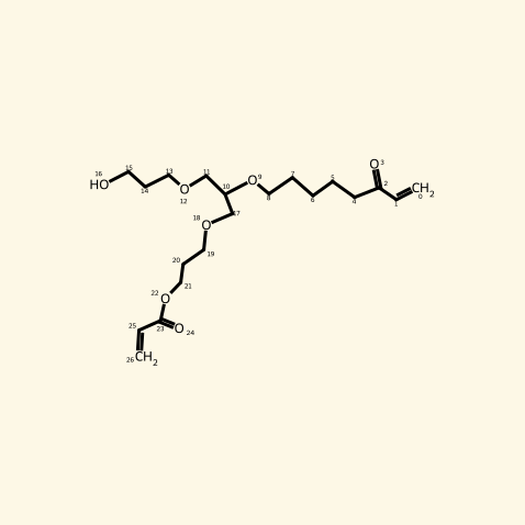 C=CC(=O)CCCCCOC(COCCCO)COCCCOC(=O)C=C